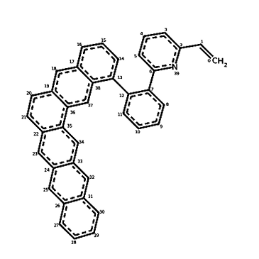 C=Cc1cccc(-c2ccccc2-c2cccc3cc4ccc5cc6cc7ccccc7cc6cc5c4cc23)n1